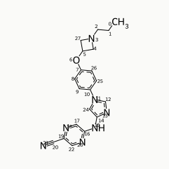 CCCN1CC(Oc2ccc(-n3cnc(Nc4cnc(C#N)cn4)c3)cc2)C1